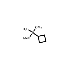 CO[Si](C)(OC)C1CCC1